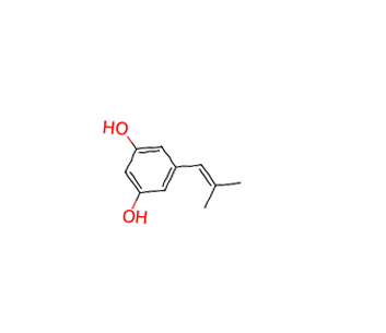 CC(C)=Cc1cc(O)cc(O)c1